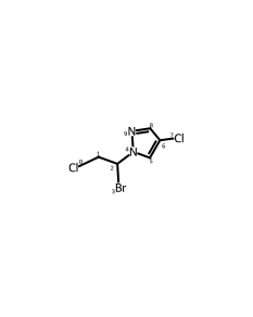 ClCC(Br)n1cc(Cl)cn1